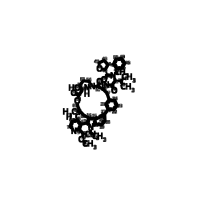 CCn1c(-c2cccnc2[C@H](C)OC)c2c3cc(ccc31)-c1cccc(c1)C[C@H](NC(=O)[C@H](C(C)C)N(C)C(=O)[C@@H]1OCC[C@@H]1c1ccccc1)C(=O)N1CCC[C@@](O)(N1)C(=O)OCC(C)(C)C2